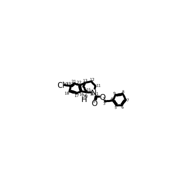 O=C(OCc1ccccc1)N1CCC2C[C@@H]1c1ccc(Cl)cc12